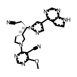 COc1ncnc(N2CC[C@H]([C@H](CC#N)n3cc(-c4ncnc5[nH]ccc45)cn3)C2)c1C#N